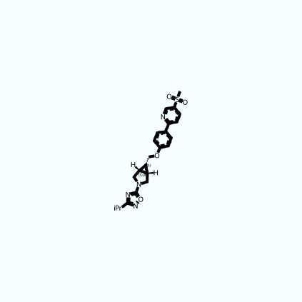 CC(C)c1noc(N2C[C@@H]3[C@H](COc4ccc(-c5ccc(S(C)(=O)=O)cn5)cc4)[C@@H]3C2)n1